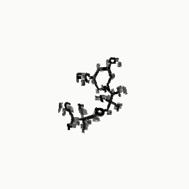 FC(N1CC(C(F)(F)F)CC(C(F)(F)F)C1)C(F)(F)COCC(F)(F)C(F)C(F)(F)F